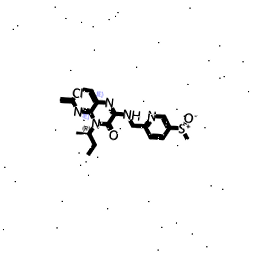 C=C(Cl)/N=C1\C(=C/C)N=C(NCc2ccc([S+](C)[O-])cn2)C(=O)N1[C@H](C)CC